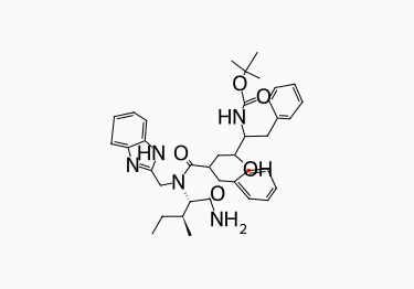 CC[C@H](C)[C@@H](C(N)=O)N(Cc1nc2ccccc2[nH]1)C(=O)C(Cc1ccccc1)CC(O)C(Cc1ccccc1)NC(=O)OC(C)(C)C